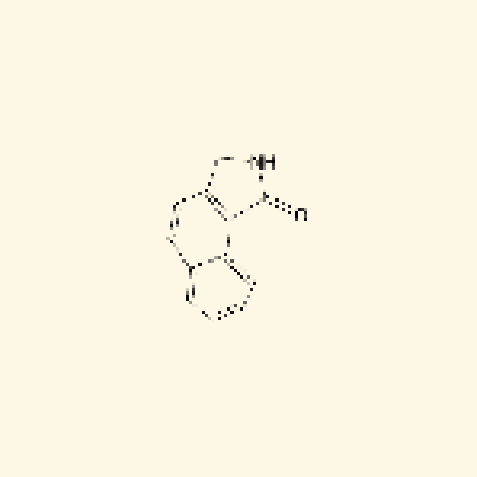 O=C1NCc2ccc3ccccc3c21